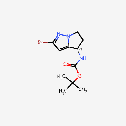 CC(C)(C)OC(=O)N[C@H]1CCn2nc(Br)cc21